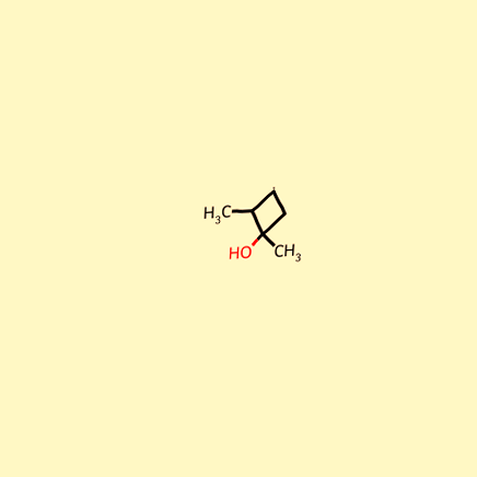 CC1[CH]CC1(C)O